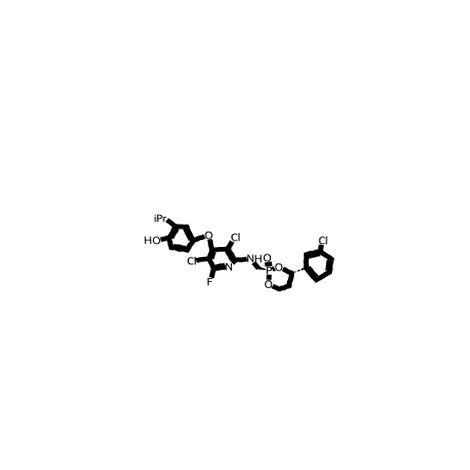 CC(C)c1cc(Oc2c(Cl)c(F)nc(NC[P@]3(=O)OCC[C@@H](c4cccc(Cl)c4)O3)c2Cl)ccc1O